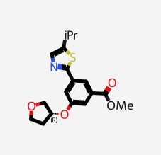 COC(=O)c1cc(O[C@@H]2CCOC2)cc(-c2ncc(C(C)C)s2)c1